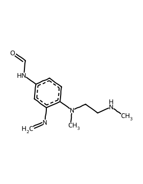 C=Nc1cc(NC=O)ccc1N(C)CCNC